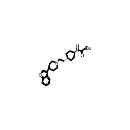 CCC(C)C(=O)N[C@H]1CC[C@H](CCN2CCC(c3coc4ccccc34)CC2)CC1